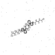 CCCCCCCOC(=O)C1CCC(C(=O)OCCCCCCC)CC1